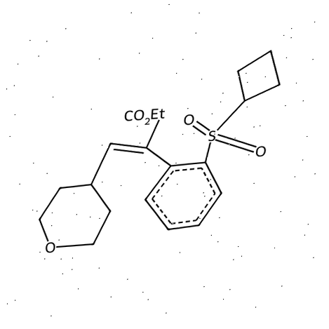 CCOC(=O)C(=CC1CCOCC1)c1ccccc1S(=O)(=O)C1CCC1